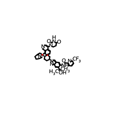 CC(C)(O)c1cc2nn([C@H]3CC[C@H](CN4C5CCC4CN(c4cccc6c(N7CCC(=O)NC7=O)cncc46)C5)CC3)cc2cc1NC(=O)c1cccc(C(F)(F)F)n1